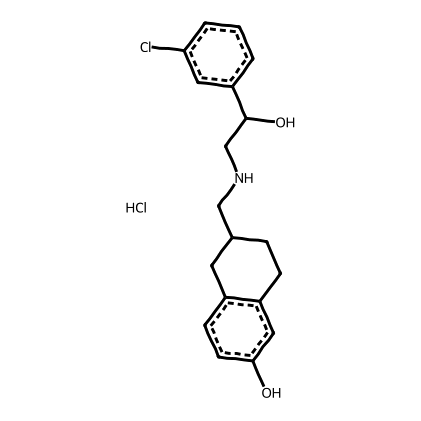 Cl.Oc1ccc2c(c1)CCC(CNCC(O)c1cccc(Cl)c1)C2